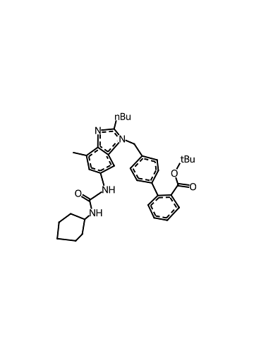 CCCCc1nc2c(C)cc(NC(=O)NC3CCCCC3)cc2n1Cc1ccc(-c2ccccc2C(=O)OC(C)(C)C)cc1